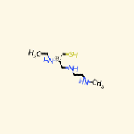 CCN[C@H](CS)CNCCNC